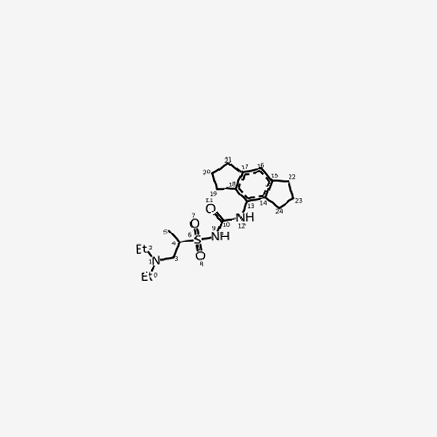 CCN(CC)CC(C)S(=O)(=O)NC(=O)Nc1c2c(cc3c1CCC3)CCC2